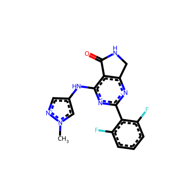 Cn1cc(Nc2nc(-c3c(F)cccc3F)nc3c2C(=O)NC3)cn1